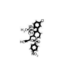 C#CCCC1c2c(c3cc(Cl)ccc3n2[Si](C)(C)C(C)(C)C)CCN1S(=O)(=O)c1ccc([N+](=O)[O-])cc1